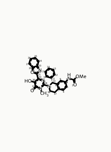 COC(=O)Nc1ccc2c(c1)[C@@H](c1ccccc1)N(c1nc(-c3nc4ccccc4o3)c(O)c(=O)n1C)CC2